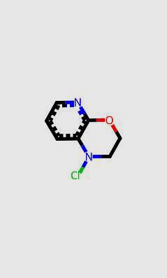 ClN1CCOc2ncccc21